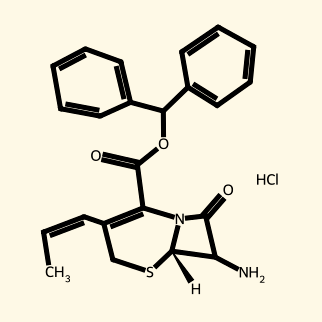 C/C=C\C1=C(C(=O)OC(c2ccccc2)c2ccccc2)N2C(=O)C(N)[C@@H]2SC1.Cl